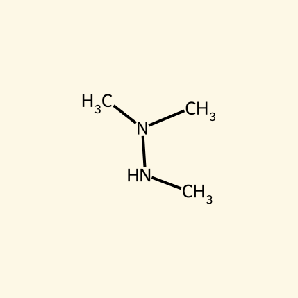 CNN(C)C